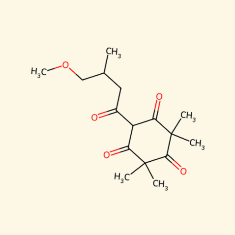 COCC(C)CC(=O)C1C(=O)C(C)(C)C(=O)C(C)(C)C1=O